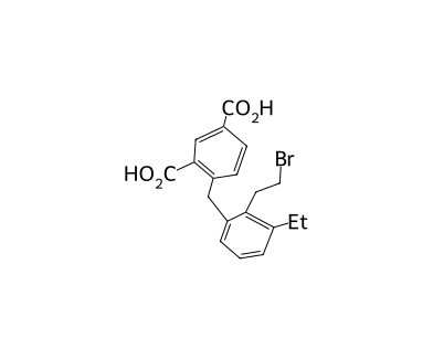 CCc1cccc(Cc2ccc(C(=O)O)cc2C(=O)O)c1CCBr